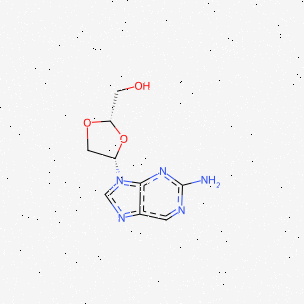 Nc1ncc2ncn([C@@H]3CO[C@H](CO)O3)c2n1